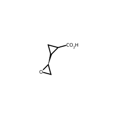 O=C(O)C1CC1[C@H]1CO1